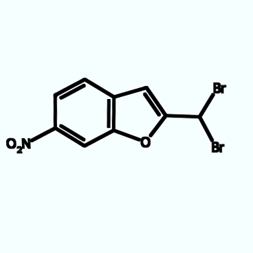 O=[N+]([O-])c1ccc2cc(C(Br)Br)oc2c1